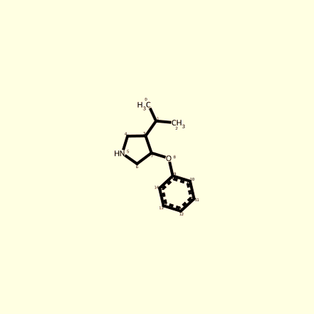 CC(C)C1CNCC1Oc1ccccc1